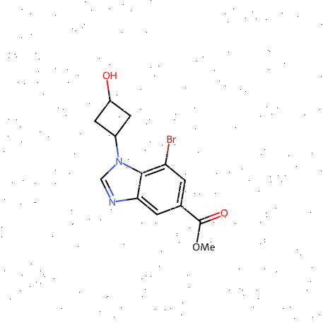 COC(=O)c1cc(Br)c2c(c1)ncn2C1CC(O)C1